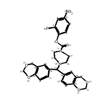 O=C(Oc1ccc([N+](=O)[O-])cc1F)N1CCN(C(c2ccc3c(c2)COCO3)c2ccc3c(c2)COCO3)CC1